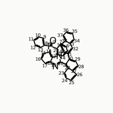 O=P(c1ccccc1)(c1ccccc1)c1cccc2nc3c4c5ccccc5ccc4c4cc5ccccc5cc4n3c12